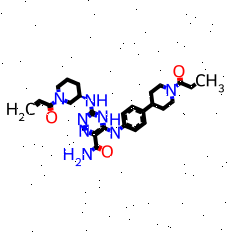 C=CC(=O)N1CCC[C@@H](Nc2nnc(C(N)=O)c(Nc3ccc(C4CCN(C(=O)CC)CC4)cc3)n2)C1